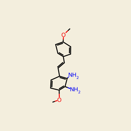 COc1ccc(C=Cc2ccc(OC)c(N)c2N)cc1